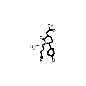 CC[C@@H](CCC#N)N1C(=O)[C@@H](CC(=O)O)CCC1c1ccc(Cl)cc1